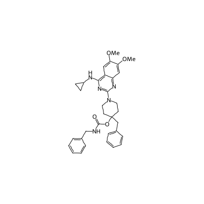 COc1cc2nc(N3CCC(Cc4ccccc4)(OC(=O)NCc4ccccc4)CC3)nc(NC3CC3)c2cc1OC